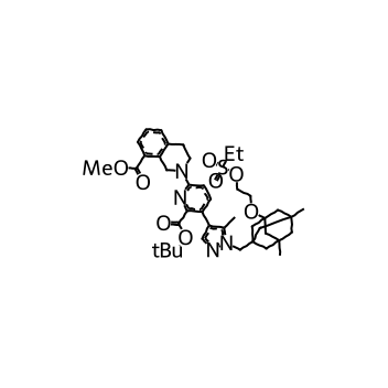 CCS(=O)(=O)OCCOC12CC3(C)CC(C)(CC(Cn4ncc(-c5ccc(N6CCc7cccc(C(=O)OC)c7C6)nc5C(=O)OC(C)(C)C)c4C)(C3)C1)C2